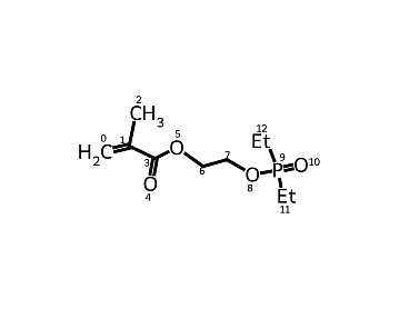 C=C(C)C(=O)OCCOP(=O)(CC)CC